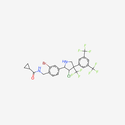 O=C(NCc1ccc(C2NCC(c3cc(C(F)(F)F)cc(C(F)(F)F)c3)(C(F)(F)F)C2Cl)cc1Br)C1CC1